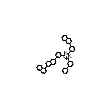 c1ccc(-c2cccc(-c3nc(-c4cccc(-c5ccc6ccccc6c5)c4)nc(-c4cccc(-c5ccc6cc(-c7cccc8ccccc78)ccc6c5)c4)n3)c2)cc1